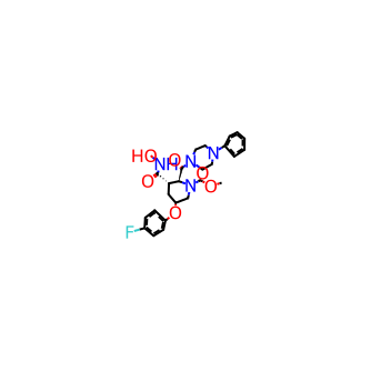 COC(=O)N1C[C@@H](Oc2ccc(F)cc2)C[C@H](C(=O)NO)[C@H]1C(=O)N1CCN(c2ccccc2)CC1